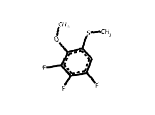 COc1c(SC)cc(F)c(F)c1F